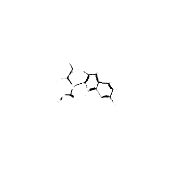 C[C@@H](CO)N(C(=O)OC(C)(C)C)c1nc2cc(Br)ccc2cc1O